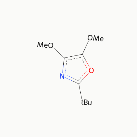 COc1nc(C(C)(C)C)oc1OC